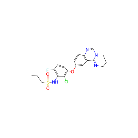 CCCS(=O)(=O)Nc1c(F)ccc(Oc2ccc3c(c2)C2=NCCCN2C=N3)c1Cl